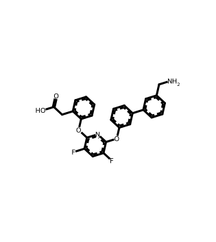 NCc1cccc(-c2cccc(Oc3nc(Oc4ccccc4CC(=O)O)c(F)cc3F)c2)c1